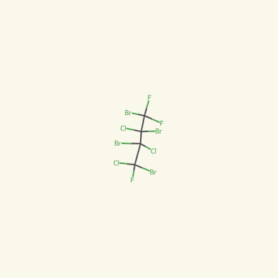 FC(F)(Br)C(Cl)(Br)C(Cl)(Br)C(F)(Cl)Br